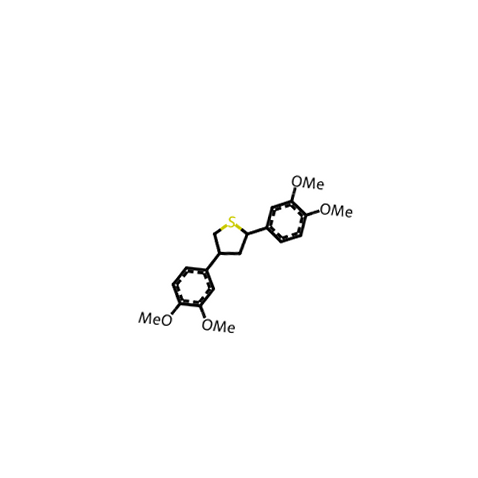 COc1ccc(C2CSC(c3ccc(OC)c(OC)c3)C2)cc1OC